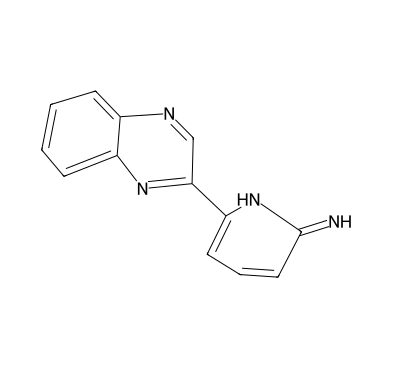 N=c1cccc(-c2cnc3ccccc3n2)[nH]1